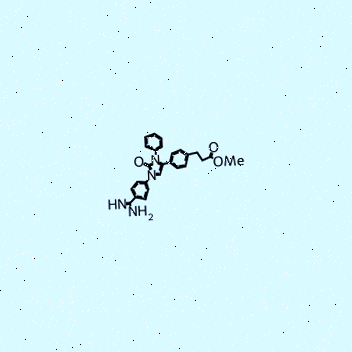 COC(=O)CCc1ccc(-c2cn(-c3ccc(C(=N)N)cc3)c(=O)n2-c2ccccc2)cc1